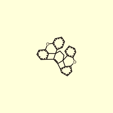 c1ccc2c(c1)Oc1cccc3c1C21CCC24C(=C31)c1cccc(c12)Oc1ccccc14